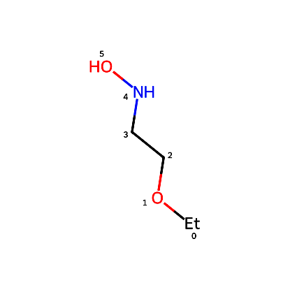 CCOCCNO